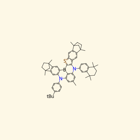 Cc1cc2c3c(c1)N(c1ccc4c(c1)C(C)(C)CCC4(C)C)c1c(sc4cc5c(cc14)C1(C)CCC5(C)C1)B3c1cc3c(cc1N2c1ccc(C(C)(C)C)cc1)C1(C)CCC3(C)C1